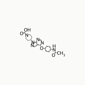 CC(=O)Nc1ccc(Oc2ncnc3c2cnn3C2CCN(C(=O)O)CC2)cc1